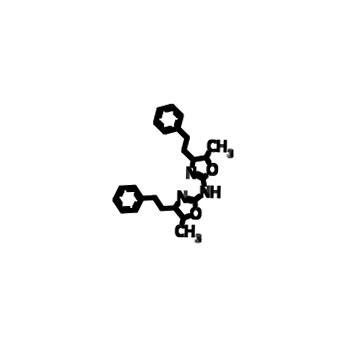 CC1OC(NC2=NC(CCc3ccccc3)C(C)O2)=NC1CCc1ccccc1